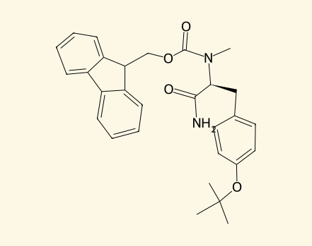 CN(C(=O)OCC1c2ccccc2-c2ccccc21)[C@@H](Cc1ccc(OC(C)(C)C)cc1)C(N)=O